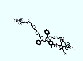 Cc1cc(N(CC(OCCOCCOCCN(C)CCCS(=O)(=O)O)c2ccccc2)CC(OCCOCCN(C)CCCS(=O)(=O)O)c2ccccc2)ccc1/N=N/c1sc(C#N)c(C)c1C#N